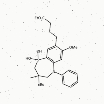 CCCCC1(C)CN(c2ccccc2)c2cc(OC)c(CSCC(=O)OCC)cc2S(O)(O)C1